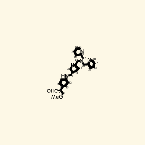 COCC(C=O)c1ccc(NCc2ccc(CN(Cc3ccccn3)Cc3ccccn3)nc2)cc1